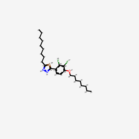 CCCCCCCCCc1nnc(-c2ccc(OCCCCCCCC)c(F)c2F)s1